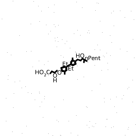 CCCCCC(C)(C)C(O)CCc1ccc(C(CC)(CC)c2ccc(OCC(O)CCC(=O)O)c(C)c2)cc1C